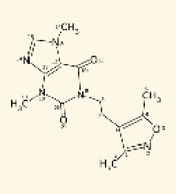 Cc1noc(C)c1CCn1c(=O)c2c(ncn2C)n(C)c1=O